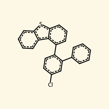 Clc1ccc(-c2cccc3sc4ccccc4c23)c(-c2ccccc2)c1